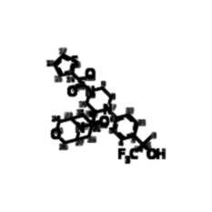 C[C@](O)(c1ccc(N2CCN(S(=O)(=O)c3cccs3)C[C@@H]2CN2C3COCC2CC(=O)C3)cc1)C(F)(F)F